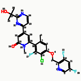 Cc1cc(OCc2ncc(F)cc2F)c(Cl)c(F)c1-c1cc(-c2ccnc(C(C)(C)O)n2)cc(=O)n1C